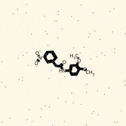 COc1ccc(NC(=O)Cc2cccc([N+](=O)[O-])c2)cc1OC